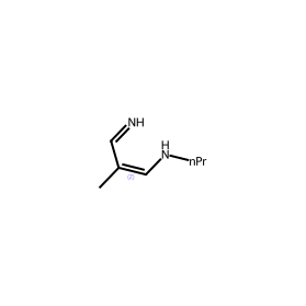 CCCN/C=C(/C)C=N